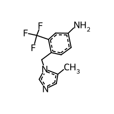 Cc1cncn1Cc1ccc(N)cc1C(F)(F)F